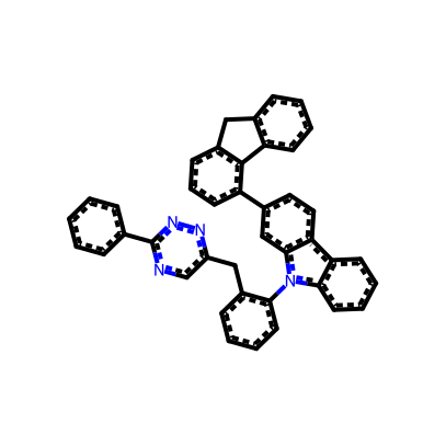 c1ccc(-c2ncc(Cc3ccccc3-n3c4ccccc4c4ccc(-c5cccc6c5-c5ccccc5C6)cc43)nn2)cc1